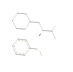 CC(O)[C@@H](N)CC1CCCCC1.CCNc1ccccc1